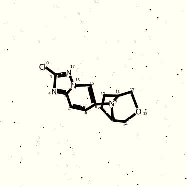 Clc1nc2ccc(N3C4CCC3COC4)cn2n1